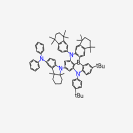 CC(C)(C)c1ccc(N2c3ccc(C(C)(C)C)cc3B3c4cc5c(cc4N(c4ccc6c(c4)C(C)(C)CCC6(C)C)c4cc(N6c7ccc(N(c8ccccc8)c8ccccc8)cc7C7(C)CCCCC67C)cc2c43)C(C)(C)CCC5(C)C)cc1